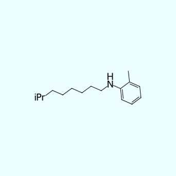 Cc1ccccc1NCCCCCCC(C)C